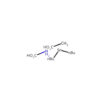 CC(=O)O.CCC[CH2][Sn][CH2]CCC.NC(=O)O